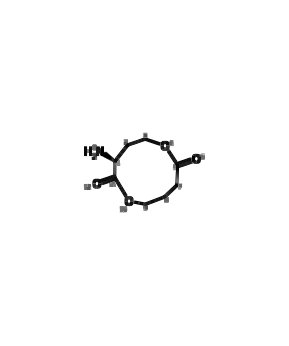 N[C@H]1CCOC(=O)CCCOC1=O